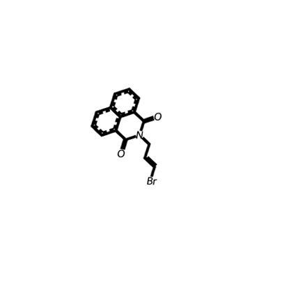 O=C1c2cccc3cccc(c23)C(=O)N1CC=CBr